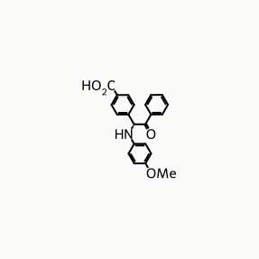 COc1ccc(N[C@H](C(=O)c2ccccc2)c2ccc(C(=O)O)cc2)cc1